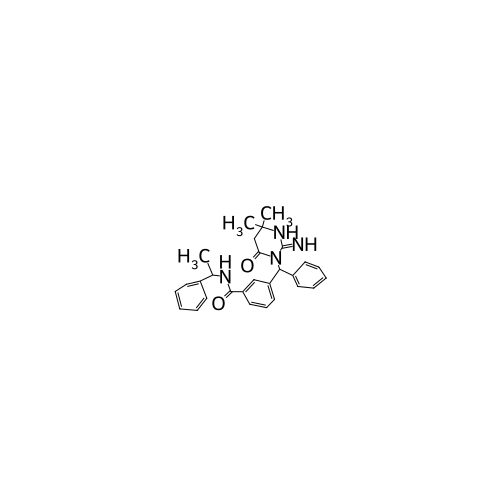 CC(NC(=O)c1cccc(C(c2ccccc2)N2C(=N)NC(C)(C)CC2=O)c1)c1ccccc1